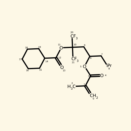 C=C(C)C(=O)OC(CC(C)C)CC(OC(=O)C1CCCCC1)(C(F)(F)F)C(F)(F)F